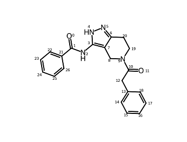 O=C(Nc1[nH]nc2c1CN(C(=O)Cc1ccccc1)CC2)c1ccccc1